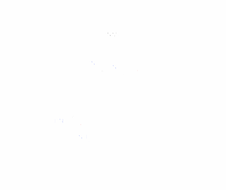 CNCCN(Cc1ccc(C(=O)Nc2ccccc2N)cc1)C(=O)NC1=COC=C(C2=CC=CCC2)O1